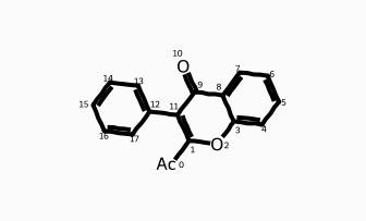 CC(=O)c1oc2ccccc2c(=O)c1-c1ccccc1